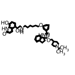 CC(C)N1CCC(COC(=O)C2(NC(=O)c3cccc(OCCCCCCNCC(O)c4ccc(O)c5[nH]c(=O)ccc45)c3)CCc3ccccc32)CC1